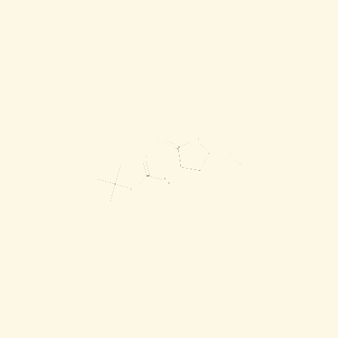 CC(C)(C)OC(=O)N[C@H]1C[C@@H](CI)OC1=O